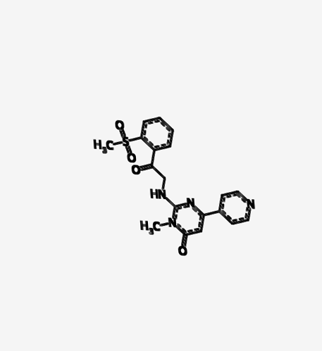 Cn1c(NCC(=O)c2ccccc2S(C)(=O)=O)nc(-c2ccncc2)cc1=O